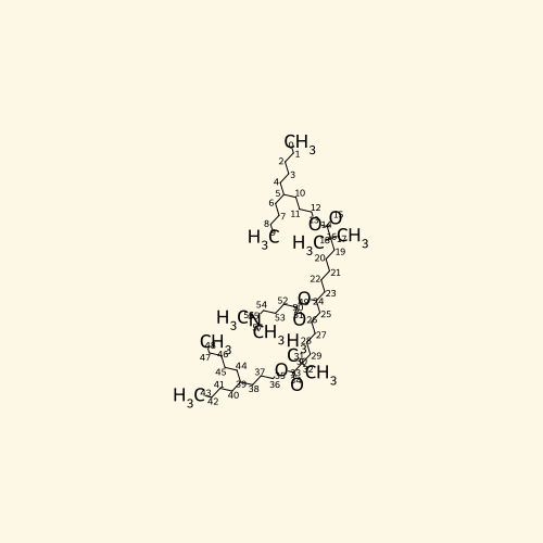 CCCCCC(CCCC)CCCOC(=O)C(C)(C)CCCCCC(CCCCCC(C)(C)C(=O)OCCCC(CCCC)CCCCC)OC(=O)CCCN(C)C